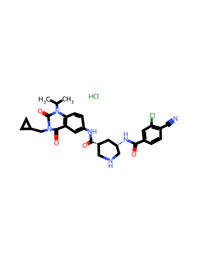 CC(C)n1c(=O)n(CC2CC2)c(=O)c2cc(NC(=O)[C@H]3CNC[C@@H](NC(=O)c4ccc(C#N)c(Cl)c4)C3)ccc21.Cl